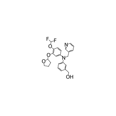 OCc1cccc(N(Cc2cccnc2)c2ccc(OC(F)F)c(OC3CCCO3)c2)c1